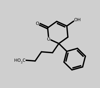 O=C(O)CCCC1(c2ccccc2)CC(O)=CC(=O)O1